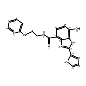 O=C(NCCNc1ccccn1)c1ccc(O)c2[nH]c(-c3cccs3)nc12